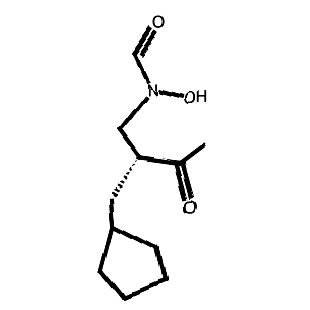 CC(=O)[C@H](CC1CCCC1)CN(O)C=O